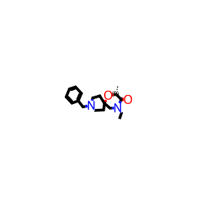 CCN1CC2(CCN(Cc3ccccc3)CC2)O[C@H](C)C1=O